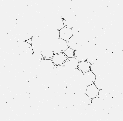 CN1CCN(Cc2ccc(C3=C[C@@H](C4CCC(O)CC4)c4nc(NCCC5CC5)ncc43)cc2)CC1